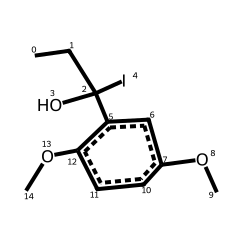 CCC(O)(I)c1cc(OC)ccc1OC